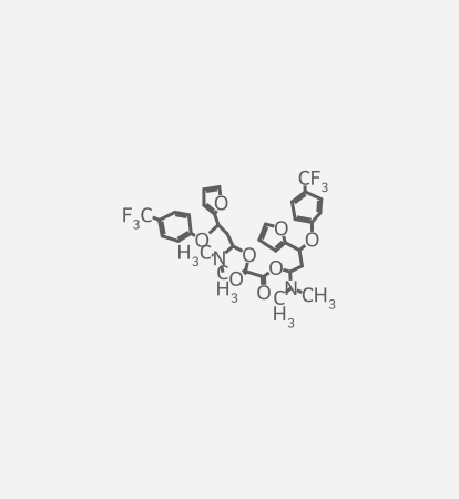 CN(C)C(CC(Oc1ccc(C(F)(F)F)cc1)c1ccco1)OC(=O)C(=O)OC(CC(Oc1ccc(C(F)(F)F)cc1)c1ccco1)N(C)C